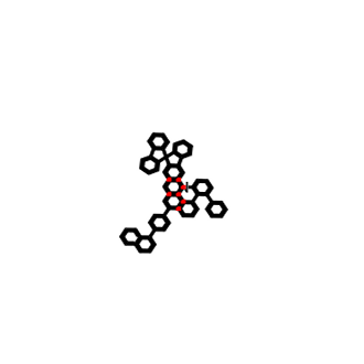 c1ccc(-c2ccccc2-c2c(-c3ccccc3)cccc2N(c2ccc(-c3ccc(-c4cccc5ccccc45)cc3)cc2)c2ccc3c(c2)-c2ccccc2C32c3ccccc3-c3ccccc32)cc1